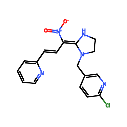 O=[N+]([O-])C(/C=C/c1ccccn1)=C1\NCCN1Cc1ccc(Cl)nc1